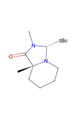 CN1C(=O)[C@@]2(C)CCCCN2[C@H]1C(C)(C)C